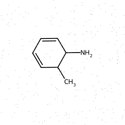 C[C]1C=CC=CC1N